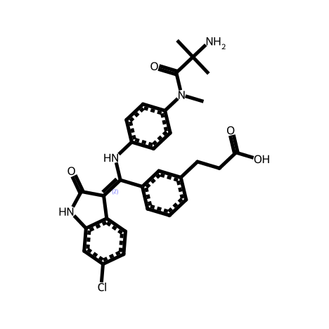 CN(C(=O)C(C)(C)N)c1ccc(N/C(=C2\C(=O)Nc3cc(Cl)ccc32)c2cccc(CCC(=O)O)c2)cc1